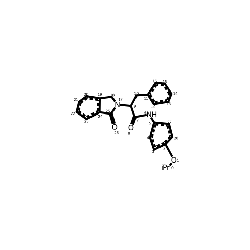 CC(C)Oc1ccc(NC(=O)C(Cc2ccccc2)N2Cc3ccccc3C2=O)cc1